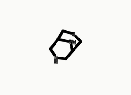 C1NCC2CSCC1N2